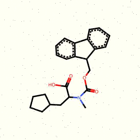 CN(C(=O)OCC1c2ccccc2-c2ccccc21)C(CC1CCCC1)C(=O)O